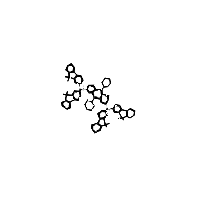 CC1(C)C2=C(C=CCC2)c2ccc(N(c3ccc4c(c3)C(C)(C)c3ccccc3-4)c3ccc4c(C5CCCCC5)c5ccc(N(c6ccc7c(c6)C(C)(C)c6ccccc6-7)c6ccc7c(c6)C(C)(C)c6ccccc6-7)cc5c(C5CCCCC5)c4c3)cc21